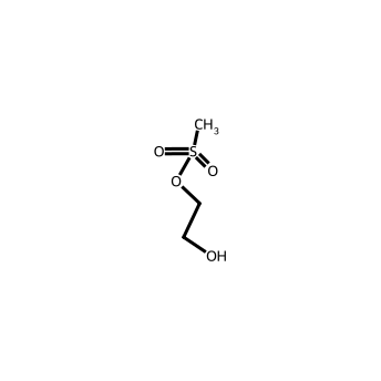 CS(=O)(=O)OCCO